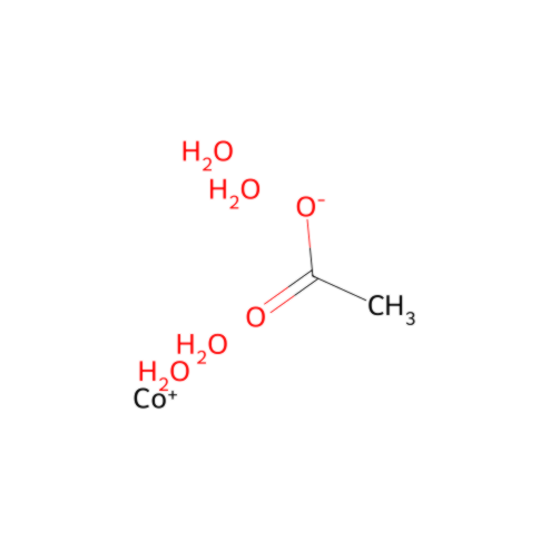 CC(=O)[O-].O.O.O.O.[Co+]